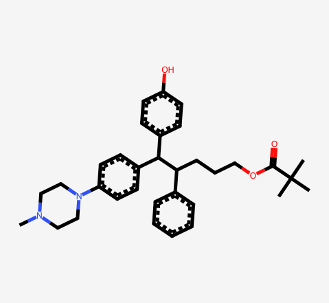 CN1CCN(c2ccc(C(c3ccc(O)cc3)C(CCCOC(=O)C(C)(C)C)c3ccccc3)cc2)CC1